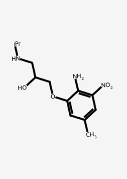 Cc1cc(OCC(O)CNC(C)C)c(N)c([N+](=O)[O-])c1